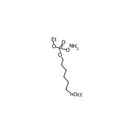 CCCCCCCCCCCCCCOP(=O)(ON)OCC